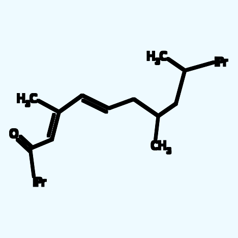 CC(C=CCC(C)CC(C)C(C)C)=CC(=O)C(C)C